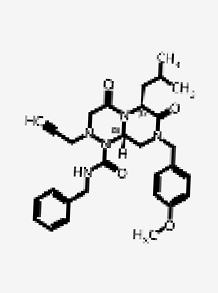 C#CCN1CC(=O)N2[C@@H](CC(C)C)C(=O)N(Cc3ccc(OC)cc3)C[C@@H]2N1C(=O)NCc1ccccc1